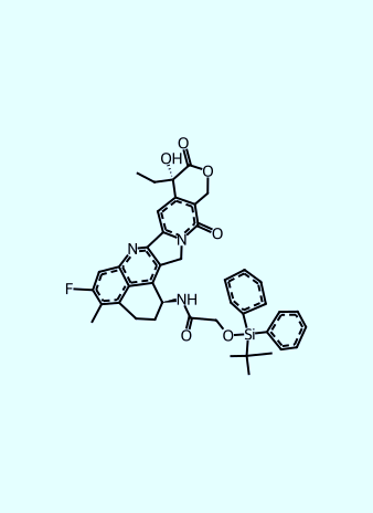 CC[C@@]1(O)C(=O)OCc2c1cc1n(c2=O)Cc2c-1nc1cc(F)c(C)c3c1c2[C@@H](NC(=O)CO[Si](c1ccccc1)(c1ccccc1)C(C)(C)C)CC3